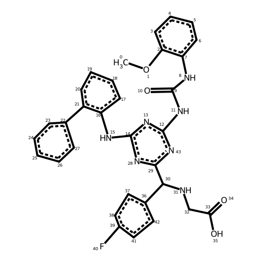 COc1ccccc1NC(=O)Nc1nc(Nc2ccccc2-c2ccccc2)nc(C(NCC(=O)O)c2ccc(F)cc2)n1